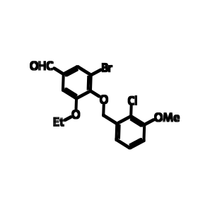 CCOc1cc(C=O)cc(Br)c1OCc1cccc(OC)c1Cl